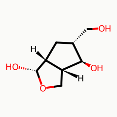 OC[C@H]1C[C@@H]2[C@@H](CO[C@@H]2O)[C@@H]1O